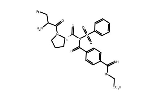 CC(C)CC(N)C(=O)N1CCC[C@H]1C(=O)N(C(=O)c1ccc(C(=N)NCC(=O)O)cc1)S(=O)(=O)c1ccccc1